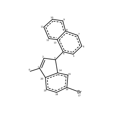 CC1=CC(c2cccc3ccccc23)c2cc(Br)ccc21